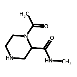 CNC(=O)C1CNCCN1C(C)=O